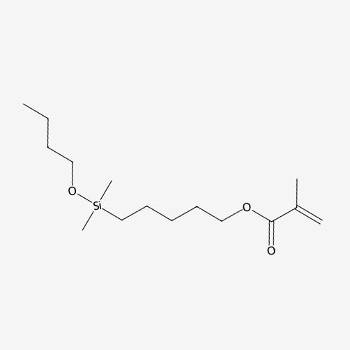 C=C(C)C(=O)OCCCCC[Si](C)(C)OCCCC